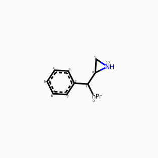 CCCC(c1ccccc1)C1CN1